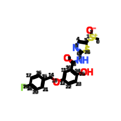 C[S+]([O-])c1cnc(NC(=O)c2cc(OCc3ccc(F)cc3)ccc2O)s1